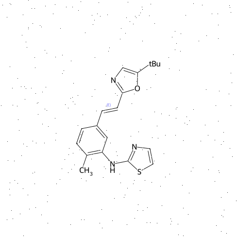 Cc1ccc(/C=C/c2ncc(C(C)(C)C)o2)cc1Nc1nccs1